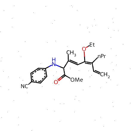 C=C/C(CCC)=C(\C=C(/C)C(Nc1ccc(C#N)cc1)C(=O)OC)OCC